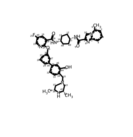 Cc1cccc2nc(C(=O)N[C@H]3CC[C@@H](NC(=O)c4cc(F)cnc4Oc4cccc(-c5ccc(CN6C[C@@H](C)N[C@@H](C)C6)c(O)c5)c4)CC3)cn12